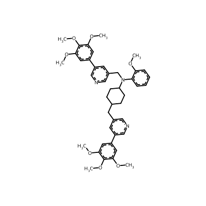 COc1ccccc1N(Cc1cncc(-c2cc(OC)c(OC)c(OC)c2)c1)C1CCC(Cc2cncc(-c3cc(OC)c(OC)c(OC)c3)c2)CC1